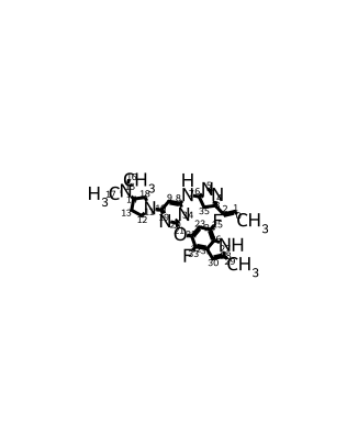 C/C=C/C1=NN=C(Nc2cc(N3CCC(N(C)C)C3)nc(Oc3cc(F)c4[nH]c(C)cc4c3F)n2)C1